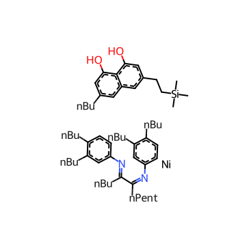 CCCCCC(=Nc1ccc(CCCC)c(CCCC)c1)C(CCCC)=Nc1ccc(CCCC)c(CCCC)c1.CCCCc1cc(O)c2c(O)cc(CC[Si](C)(C)C)cc2c1.[Ni]